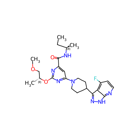 CC[C@@H](C)NC(=O)c1cc(N2CCC(c3n[nH]c4nccc(F)c34)CC2)nc(O[C@H](C)COC)n1